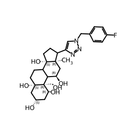 C[C@]12C[C@@H](O)C3C(CC[C@]4(O)C[C@@H](O)C[C@@H](O)[C@]34CO)[C@@]1(O)CCC2c1cn(Cc2ccc(F)cc2)nn1